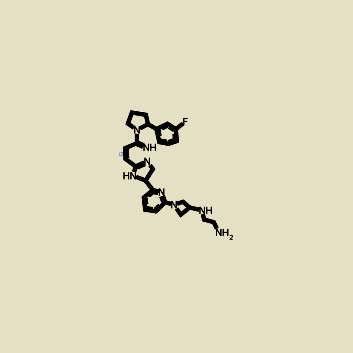 N=C(/C=C\C1=NCC(c2cccc(N3CC(NCCN)C3)n2)N1)N1CCCC1c1cccc(F)c1